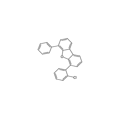 Clc1ccccc1-c1cccc2c1oc1c(-c3ccccc3)cccc12